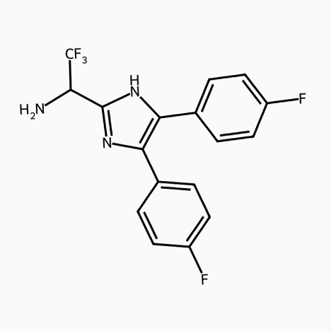 NC(c1nc(-c2ccc(F)cc2)c(-c2ccc(F)cc2)[nH]1)C(F)(F)F